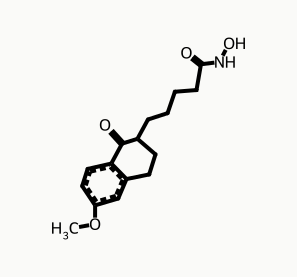 COc1ccc2c(c1)CCC(CCCCC(=O)NO)C2=O